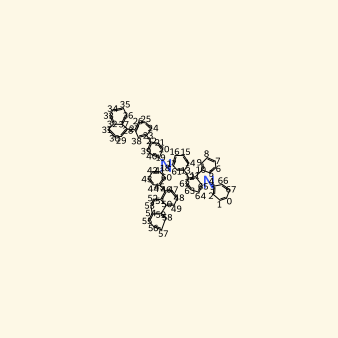 c1ccc(-n2c3ccccc3c3c(-c4cccc(N(c5ccc(-c6cccc(-c7cccc8ccccc78)c6)cc5)c5cccc(-c6cccc7c6ccc6ccccc67)c5)c4)cccc32)cc1